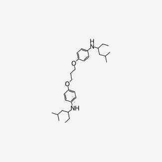 CCC(CC(C)C)Nc1ccc(OCCCOc2ccc(NC(CC)CC(C)C)cc2)cc1